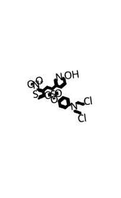 O=[N+]([O-])c1sccc1CC(c1ccc(O)nc1)S(=O)(=O)Oc1ccc(N(CCCl)CCCl)cc1